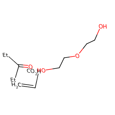 C=CC(=O)O.CCC(=O)CC.OCCOCCO